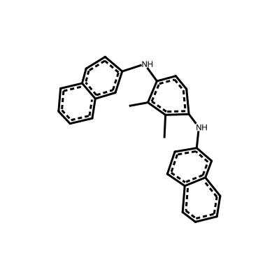 Cc1c(Nc2ccc3ccccc3c2)ccc(Nc2ccc3ccccc3c2)c1C